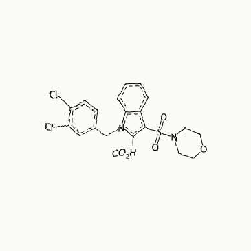 O=C(O)c1c(S(=O)(=O)N2CCOCC2)c2ccccc2n1Cc1ccc(Cl)c(Cl)c1